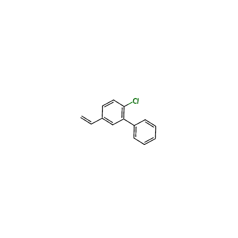 C=Cc1ccc(Cl)c(-c2ccccc2)c1